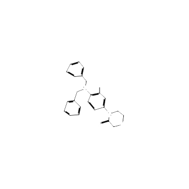 O=C1COCCN1c1ccc(N(Cc2ccccc2)Cc2ccccc2)c(F)c1